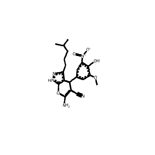 COc1cc(C2C(C#N)=C(N)Oc3[nH]nc(CCCC(C)C)c32)cc([N+](=O)[O-])c1O